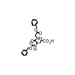 O=C(O)CC[C@H](NC(=O)OCc1ccccc1)C(=O)NCC(=O)OCc1ccccc1